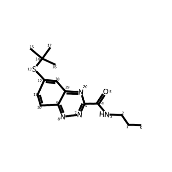 CCCNC(=O)c1nnc2ccc(SC(C)(C)C)cc2n1